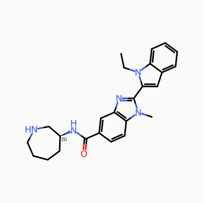 CCn1c(-c2nc3cc(C(=O)N[C@H]4CCCCNC4)ccc3n2C)cc2ccccc21